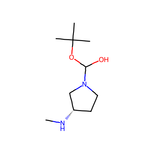 CN[C@H]1CCN(C(O)OC(C)(C)C)C1